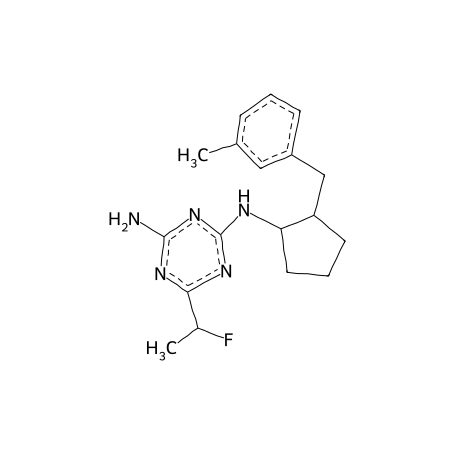 Cc1cccc(CC2CCCC2Nc2nc(N)nc(C(C)F)n2)c1